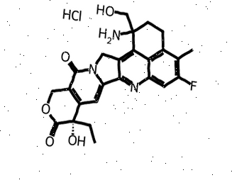 CC[C@@]1(O)C(=O)OCc2c1cc1n(c2=O)Cc2c-1nc1cc(F)c(C)c3c1c2C(N)(CO)CC3.Cl